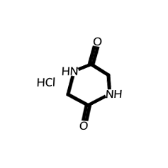 Cl.O=C1CNC(=O)CN1